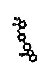 Nc1nccc(Sc2cnc(N3CCC4(CC3)Cc3ncccc3[C@H]4N)cn2)c1Cl